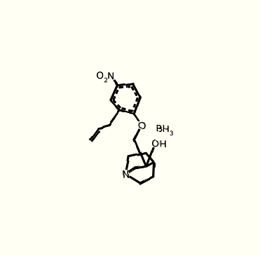 B.C=CCc1cc([N+](=O)[O-])ccc1OCC1(O)CN2CCC1CC2